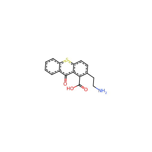 NCCc1ccc2sc3ccccc3c(=O)c2c1C(=O)O